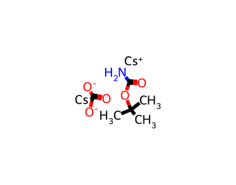 CC(C)(C)OC(N)=O.O=C([O-])[O-].[Cs+].[Cs+]